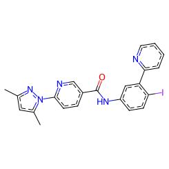 Cc1cc(C)n(-c2ccc(C(=O)Nc3ccc(I)c(-c4ccccn4)c3)cn2)n1